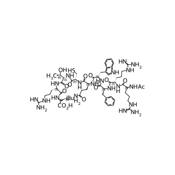 CC[C@H](C)[C@H](NC(=O)[C@H](CCCNC(=N)N)NC(=O)[C@@H](NC(=O)[C@H](CS)NC(=O)[C@H](CCC(N)=O)NC(=O)[C@H](Cc1c[nH]c2ccccc12)NC(=O)[C@H](Cc1ccccc1)NC(=O)[C@H](CCCNC(=N)N)NC(=O)[C@H](CCCNC(=N)N)NC(C)=O)[C@@H](C)O)C(=O)O